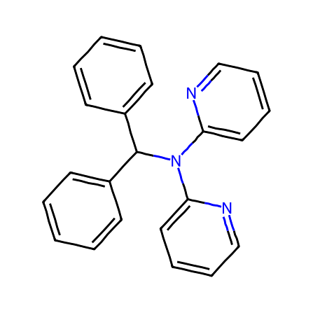 c1ccc(C(c2ccccc2)N(c2ccccn2)c2ccccn2)cc1